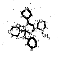 ClN1C(c2ccncc2)=CC=NC1(Nc1ccccc1)N1CCOCC1.NN1CCOCC1